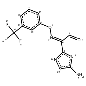 Nc1nc(/C([C]=O)=N/Oc2cccc(C(F)(F)F)c2)ns1